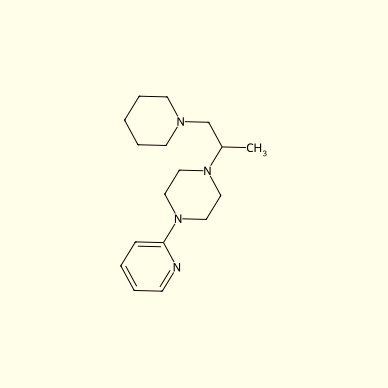 CC(CN1CCCCC1)N1CCN(c2ccccn2)CC1